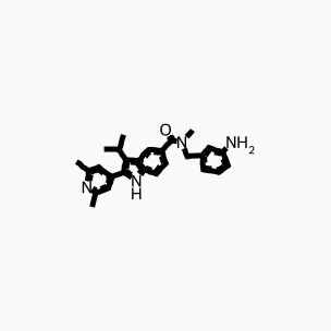 Cc1cc(-c2[nH]c3ccc(C(=O)N(C)Cc4cccc(N)c4)cc3c2C(C)C)cc(C)n1